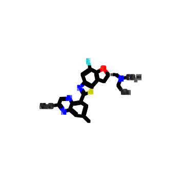 COc1cnc2c(-c3nc4cc(F)c5c(c4s3)C[C@@H](CN(CC(C)(C)C)C(=O)O)O5)cc(C)cc2n1